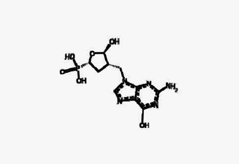 Nc1nc(O)c2ncn(C[C@@H]3C[C@H](P(=O)(O)O)O[C@H]3O)c2n1